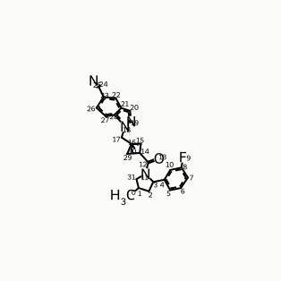 CC1CC(c2cccc(F)c2)N(C(=O)C23CC(Cn4ncc5cc(C#N)ccc54)(C2)C3)C1